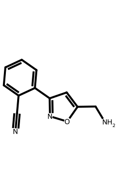 N#Cc1ccccc1-c1cc(CN)on1